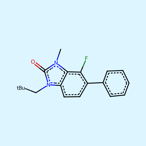 Cn1c(=O)n(CC(C)(C)C)c2ccc(-c3ccccc3)c(F)c21